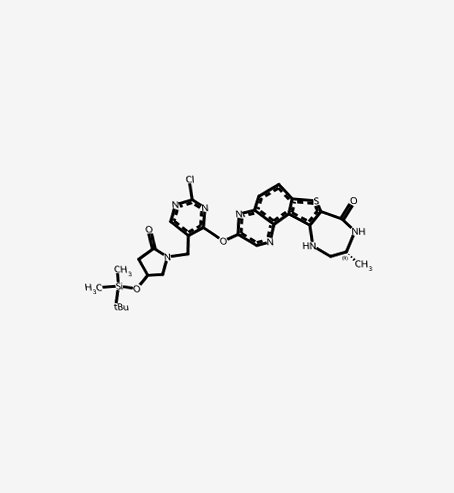 C[C@@H]1CNc2c(sc3ccc4nc(Oc5nc(Cl)ncc5CN5CC(O[Si](C)(C)C(C)(C)C)CC5=O)cnc4c23)C(=O)N1